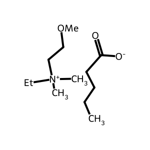 CCCCC(=O)[O-].CC[N+](C)(C)CCOC